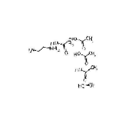 CC(=O)O.CC(=O)O.CC(=O)O.CC(=O)O.NCCN.OO